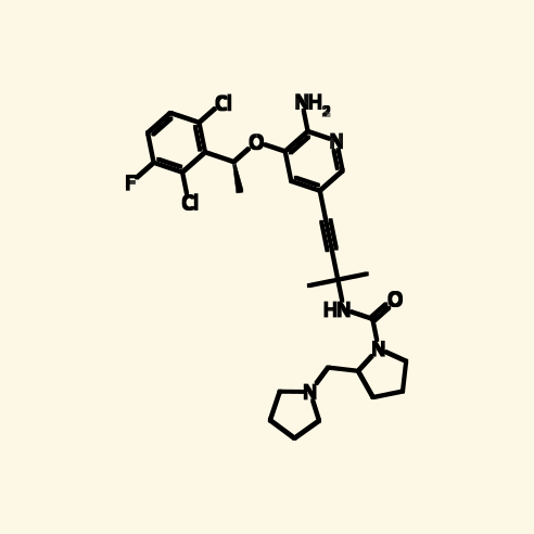 C[C@H](Oc1cc(C#CC(C)(C)NC(=O)N2CCCC2CN2CCCC2)cnc1N)c1c(Cl)ccc(F)c1Cl